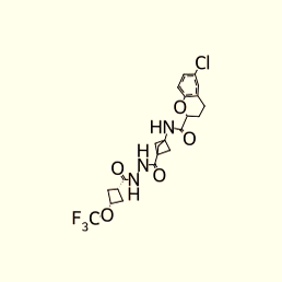 O=C(NC12CC(C(=O)NNC(=O)[C@H]3C[C@@H](OC(F)(F)F)C3)(C1)C2)C1CCc2cc(Cl)ccc2O1